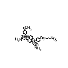 COc1ccc(S(=O)(=O)N(CC(N)=O)c2ccc(N(CC(N)=O)S(=O)(=O)c3ccc(OSCCCCN=C=S)cc3)c3ccccc23)cc1